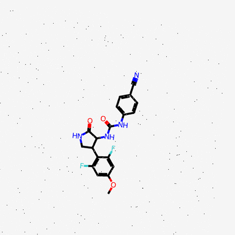 COc1cc(F)c(C2CNC(=O)C2NC(=O)Nc2ccc(C#N)cc2)c(F)c1